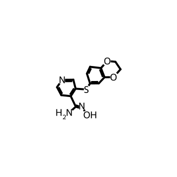 NC(=NO)c1ccncc1Sc1ccc2c(c1)OCCO2